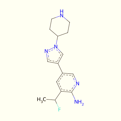 CC(F)c1cc(-c2cnn(C3CCNCC3)c2)cnc1N